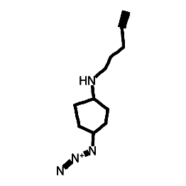 C#CCCCNC1CCC(N=[N+]=[N-])CC1